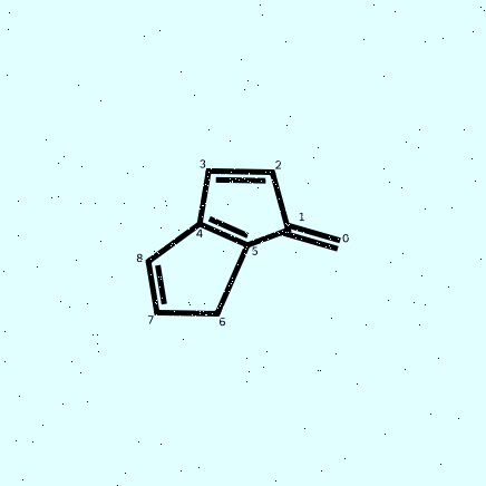 C=C1C=CC2=C1CC=C2